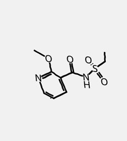 CCS(=O)(=O)NC(=O)c1c[c]cnc1OC